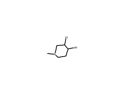 CCCC1CCN(C)CC1CC